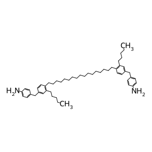 CCCCCc1cc(Cc2ccc(N)cc2)ccc1CCCCCCCCCCCCCCCCCc1ccc(Cc2ccc(N)cc2)cc1CCCCC